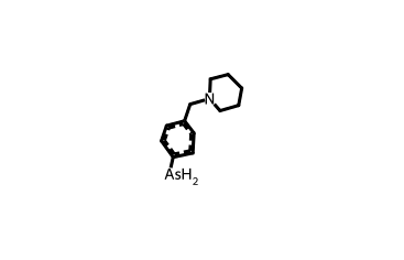 [AsH2]c1ccc(CN2CCCCC2)cc1